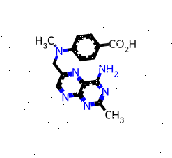 Cc1nc(N)c2nc(CN(C)c3ccc(C(=O)O)cc3)cnc2n1